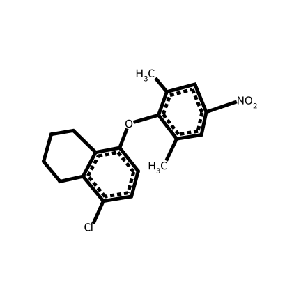 Cc1cc([N+](=O)[O-])cc(C)c1Oc1ccc(Cl)c2c1CCCC2